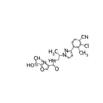 Cc1c(-c2ccn(C(C)CNC(=O)c3coc([C@H](C)O)n3)n2)ccc(C#N)c1Cl